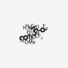 COc1cc(C(=O)NCC(O)(c2cc3c(c(-c4ccc(F)c(F)c4)n2)OC[C@]3(C)C(N)=O)C(F)(F)F)cc2cccnc12